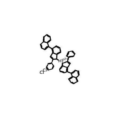 C1=C(c2ccccc2)[CH]([Hf+2][CH]2C(c3ccccc3)=Cc3c(-c4cccc5ccccc45)cccc32)c2cccc(-c3cccc4ccccc34)c21.[Cl-].[Cl-]